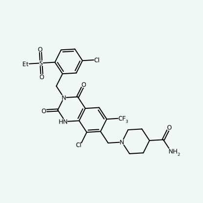 CCS(=O)(=O)c1ccc(Cl)cc1Cn1c(=O)[nH]c2c(Cl)c(CN3CCC(C(N)=O)CC3)c(C(F)(F)F)cc2c1=O